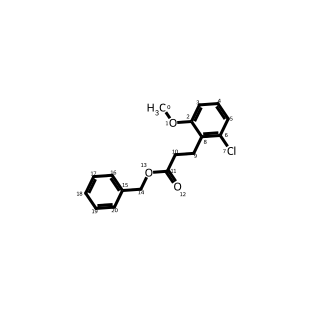 COc1cccc(Cl)c1CCC(=O)OCc1ccccc1